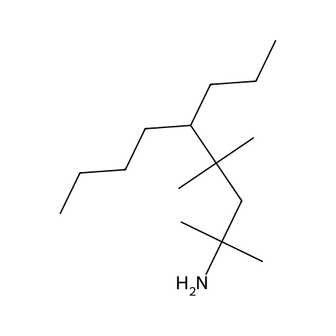 CCCCC(CCC)C(C)(C)CC(C)(C)N